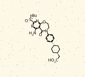 CCCC[S+]([O-])c1nc(N)c2c(n1)OCCN(c1ccc([C@H]3CC[C@H](CC(=O)O)CC3)cc1)C2=O